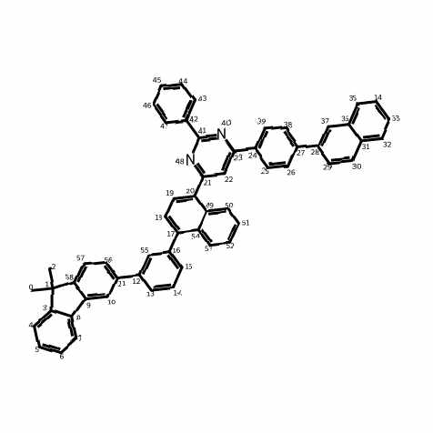 CC1(C)c2ccccc2-c2cc(-c3cccc(-c4ccc(-c5cc(-c6ccc(-c7ccc8ccccc8c7)cc6)nc(-c6ccccc6)n5)c5ccccc45)c3)ccc21